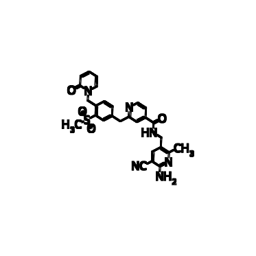 Cc1nc(N)c(C#N)cc1CNC(=O)c1ccnc(Cc2ccc(Cn3ccccc3=O)c(S(C)(=O)=O)c2)c1